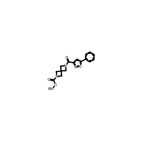 CC(C)(C)OC(=O)N1CC2(C1)CN(C(=O)c1cc(-c3ccccc3)on1)C2